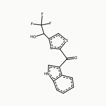 O=C(c1nc(C(O)C(F)(F)F)cs1)c1c[nH]c2ccccc12